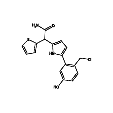 NC(=O)C(c1ccc(-c2cc(O)ccc2CCl)[nH]1)c1cccs1